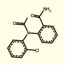 CC(=O)N(c1ccccc1Cl)c1ccccc1C(N)=O